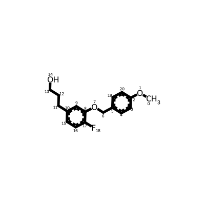 COc1ccc(COc2cc(CCCO)ccc2F)cc1